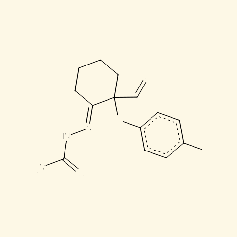 NC(=O)NN=C1CCCCC1(C=O)Oc1ccc(F)cc1